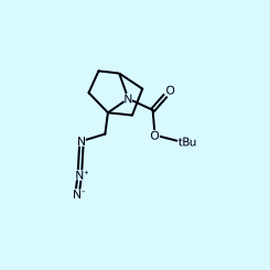 CC(C)(C)OC(=O)N1C2CCC1(CN=[N+]=[N-])CC2